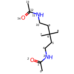 CC(=O)NCCC(C)(C)CCNC(C)=O